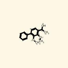 COc1c(-c2ccccc2)ccc(C(C)O)c1OC